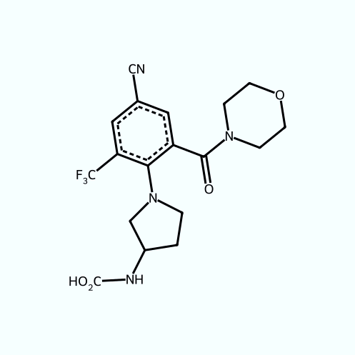 N#Cc1cc(C(=O)N2CCOCC2)c(N2CCC(NC(=O)O)C2)c(C(F)(F)F)c1